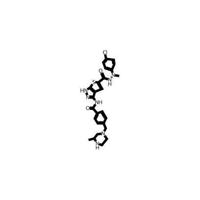 CC1CN(Cc2ccc(C(=O)Nc3n[nH]c4sc(C(=O)NN(C)c5ccc(Cl)cc5)cc34)cc2)CCN1